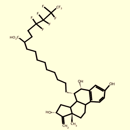 C=C1[C@H](O)CC2C3C(CC[C@]12C)c1ccc(O)cc1[C@@H](O)[C@H]3CCCCCCCCCC(CCC(F)(F)C(F)(F)C(F)(F)C(F)(F)F)C(=O)O